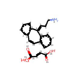 NCCC=C1c2ccccc2C=Cc2ccccc21.O=C(O)C=CC(=O)O